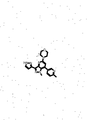 Cc1ccc(-c2cc(N3CCOC[C@H]3C)nc3c(-c4cc[nH]n4)nn(C)c23)cn1